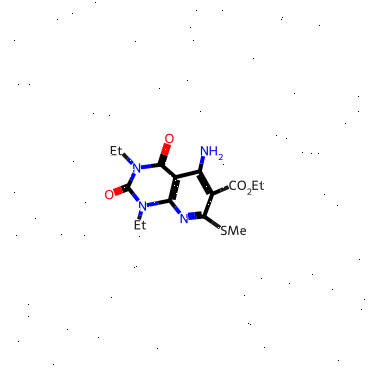 CCOC(=O)c1c(SC)nc2c(c1N)c(=O)n(CC)c(=O)n2CC